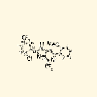 COc1ccccc1-c1nc(C(F)(F)F)c2nc(-c3cc(C(F)(F)F)ccc3Cl)[nH]c2n1